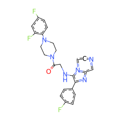 O=C(CNc1c(-c2ccc(F)cc2)nc2cnccn12)N1CCN(c2ccc(F)cc2F)CC1